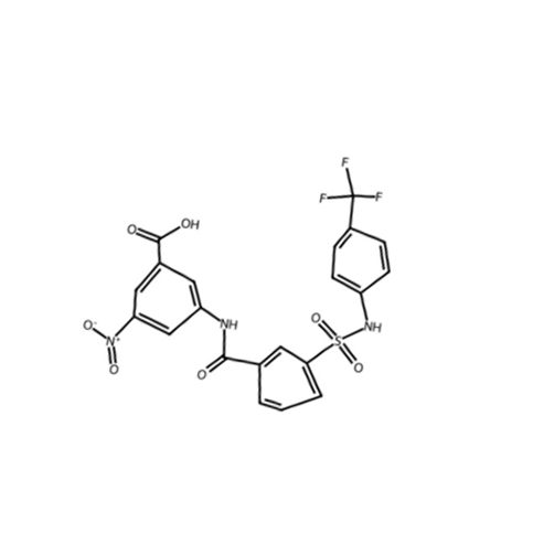 O=C(O)c1cc(NC(=O)c2cccc(S(=O)(=O)Nc3ccc(C(F)(F)F)cc3)c2)cc([N+](=O)[O-])c1